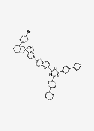 CC1(c2ccc(-c3ccc4cc(-c5nc(-c6ccc(-c7ccccc7)cc6)nc(-c6ccc(-c7ccccc7)cc6)n5)ccc4c3)cc2)CC2CCCC(c3ccc(Br)cc3)(C2)C1